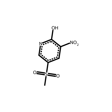 CS(=O)(=O)c1cnc(O)c([N+](=O)[O-])c1